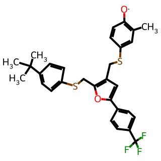 Cc1cc(SCc2cc(-c3ccc(C(F)(F)F)cc3)oc2CSc2ccc(C(C)(C)C)cc2)ccc1[O]